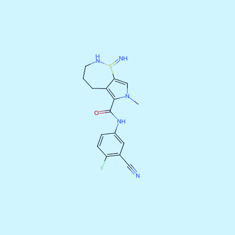 Cn1cc2c(c1C(=O)Nc1ccc(F)c(C#N)c1)CCCNS2=N